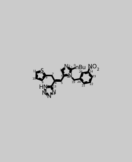 CCCCc1ncc(/C=C(\Cc2cccs2)c2nnn[nH]2)n1Cc1cccc([N+](=O)[O-])c1